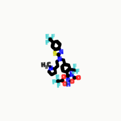 CN1CCCC1CCN(Cc1ccc(C2(OC(=O)C(F)(F)F)NOC(=O)N2)c(C(F)(F)F)c1)c1nc2ccc(C(F)(F)F)cc2s1